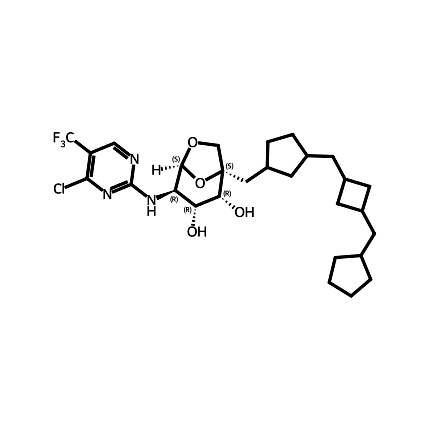 O[C@@H]1[C@@H](Nc2ncc(C(F)(F)F)c(Cl)n2)[C@H]2OC[C@](CC3CCC(CC4CC(CC5CCCC5)C4)C3)(O2)[C@@H]1O